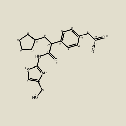 O=C(Nc1nc(CO)cs1)C(CC1CCCC1)c1ccc(C[SH](=O)=O)cc1